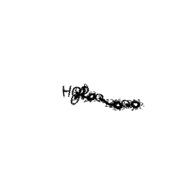 CCOC(Cc1ccc(OCC=Cc2ccc(OCc3ccccc3)cc2)cc1)C(=O)O